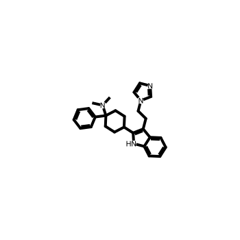 CN(C)C1(c2ccccc2)CCC(c2[nH]c3ccccc3c2CCn2ccnc2)CC1